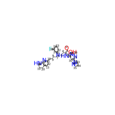 O=C(O)C(CCN(CCCCc1ccc2c(n1)NCCC2)c1cccc(F)c1)Nc1cc(-n2cccn2)ncn1